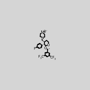 C[C@@H](O[C@H]1OCC[C@H](CN2CC[N+](C)([O-])CC2)[C@H]1c1ccc(F)cc1)c1cc(C(F)(F)F)cc(C(F)(F)F)c1